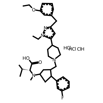 CCOc1cccc(Cc2cc(C3CCN(CC4CC(N(C)[C@@H](C(=O)O)C(C)C)CC4c4cccc(F)c4)CC3)n(CC)n2)c1.Cl.Cl.Cl